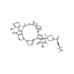 CCn1c(-c2cccnc2C(C)C)c2c3cc(ccc31)N1CCO[C@@H](C[C@H](NC(=O)[C@H](C(C)C)N(C)C(=O)C3(F)CCN(C(=O)C#CC(C)(C)N(C)C)CC3)C(=O)N3CCC[C@H](N3)C(=O)OCC(C)(C)C2)C1